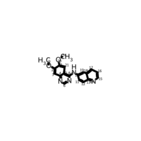 COc1cc2ncnc(Nc3ccc4ncccc4c3)c2cc1OC